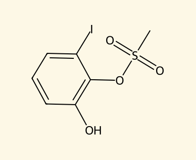 CS(=O)(=O)Oc1c(O)cccc1I